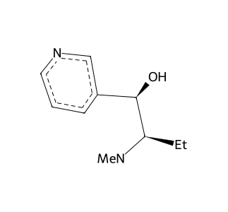 CC[C@@H](NC)[C@H](O)c1cccnc1